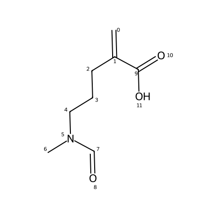 C=C(CCCN(C)C=O)C(=O)O